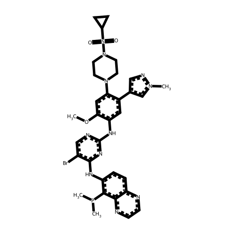 COc1cc(N2CCN(S(=O)(=O)C3CC3)CC2)c(-c2cnn(C)c2)cc1Nc1ncc(Br)c(Nc2ccc3nccnc3c2P(C)C)n1